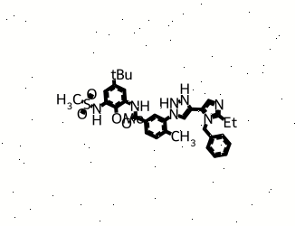 CCc1ncc(C2=CN(c3cc(C(=O)Nc4cc(C(C)(C)C)cc(NS(C)(=O)=O)c4OC)ccc3C)NN2)n1Cc1ccccc1